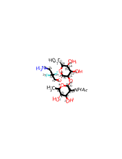 CC(=O)NC1C(O)[C@H](O)C(C)O[C@H]1OC1C(O)[C@H](O)C(C(=O)O)O[C@H]1OCC(F)(F)CN